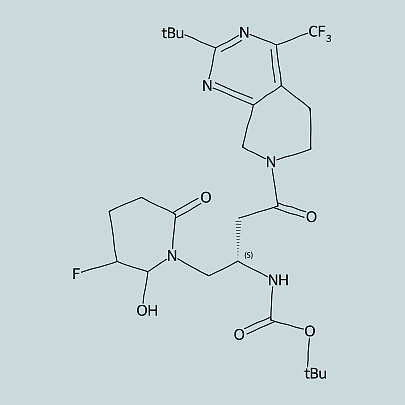 CC(C)(C)OC(=O)N[C@@H](CC(=O)N1CCc2c(nc(C(C)(C)C)nc2C(F)(F)F)C1)CN1C(=O)CCC(F)C1O